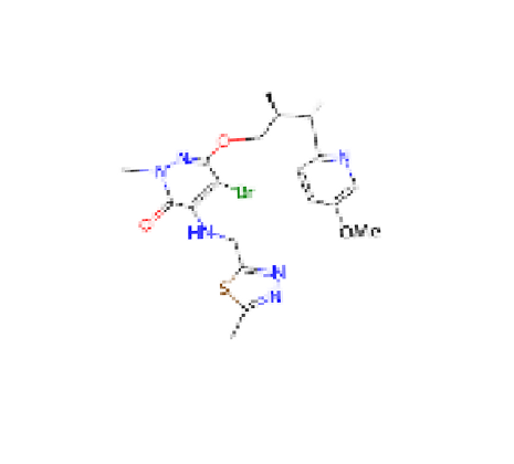 COc1ccc([C@@H](C)[C@H](C)COc2nn(C)c(=O)c(NCc3nnc(C)s3)c2Br)nc1